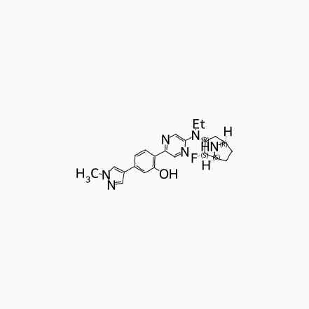 CCN(c1cnc(-c2ccc(-c3cnn(C)c3)cc2O)cn1)[C@@H]1C[C@H]2CC[C@H](N2)[C@@H]1F